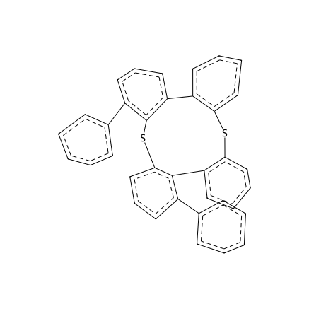 c1ccc(-c2cccc3c2Sc2cccc(-c4ccccc4)c2-c2ccccc2Sc2ccccc2-3)cc1